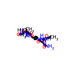 CCCC(=O)NCC(=O)NC(CCCNC(N)=O)C(=O)Nc1ccc(CONC(=O)/C(C)=C/C(NC(=O)CNC=O)C(C)C)cc1